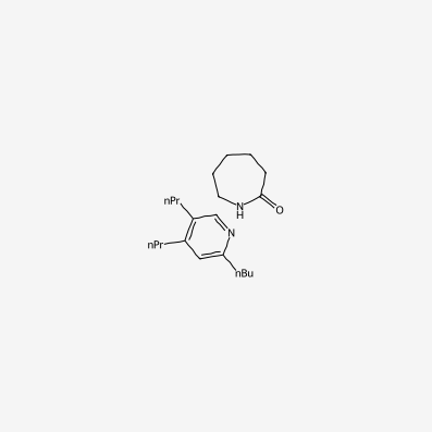 CCCCc1cc(CCC)c(CCC)cn1.O=C1CCCCCN1